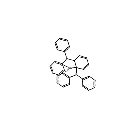 [Cl][Ru]([Cl])[C]1(P(c2ccccc2)c2ccccc2)C=CC=CC1P(c1ccccc1)c1ccccc1